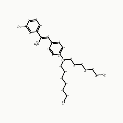 N#Cc1cccc(C(=Cc2ccc(N(CCCCCCO)CCCCCCO)cc2)[N+](=O)[O-])c1